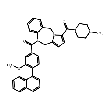 COc1cc(C(=O)N2Cc3ccc(C(=O)N4CCN(C)CC4)n3Cc3ccccc32)ccc1-c1cccc2ccccc12